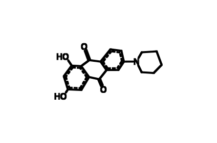 O=C1c2cc(N3CCCCC3)ccc2C(=O)c2c(O)cc(O)cc21